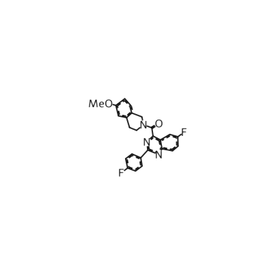 COc1ccc2c(c1)CCN(C(=O)c1nc(-c3ccc(F)cc3)nc3ccc(F)cc13)C2